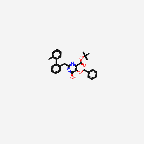 Cc1ccccc1-c1ccccc1Cc1nc(O)c(OCc2ccccc2)c(C(=O)OC(C)(C)C)n1